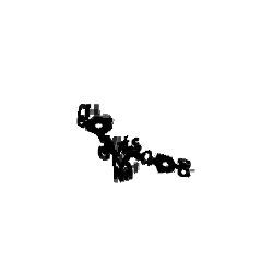 COc1cccc(CNC(=O)c2nc3scc(COCc4ccc(C(=O)[O-])cc4)c3c(=O)[n-]2)c1.[Na+].[Na+]